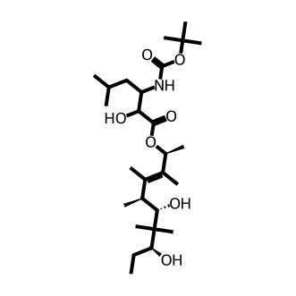 CC[C@H](O)C(C)(C)[C@@H](O)[C@@H](C)/C(C)=C(\C)[C@H](C)OC(=O)C(O)C(CC(C)C)NC(=O)OC(C)(C)C